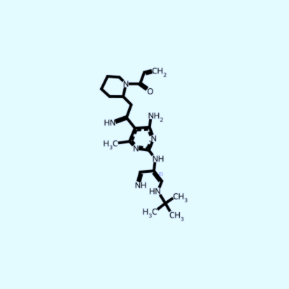 C=CC(=O)N1CCCCC1CC(=N)c1c(C)nc(N/C(C=N)=C/NC(C)(C)C)nc1N